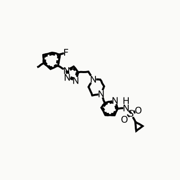 Cc1ccc(F)c(-n2cc(CN3CCN(c4cccc(NS(=O)(=O)C5CC5)n4)CC3)nn2)c1